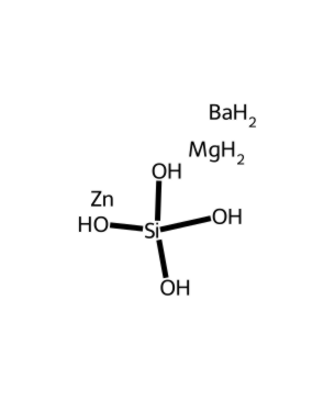 O[Si](O)(O)O.[BaH2].[MgH2].[Zn]